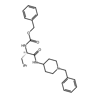 CC(C)C[C@H](NC(=O)OCc1ccccc1)C(=O)NC1CCN(Cc2ccccc2)CC1